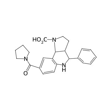 O=C(c1ccc2c(c1)C1C(CCN1C(=O)O)C(c1ccccc1)N2)N1CCCC1